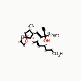 C#CC(O)(C=C[C@@H]1[C@@H](C#N)CC2(OCCO2)[C@H]1CC=CCCCC(=O)O)CCCCC